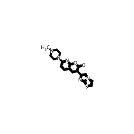 CN1CCN(c2ccc3cc(-c4cn5ccsc5n4)c(=O)oc3n2)CC1